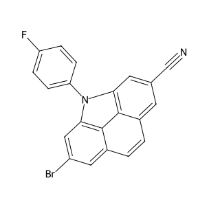 N#Cc1cc2ccc3cc(Br)cc4c3c2c(c1)n4-c1ccc(F)cc1